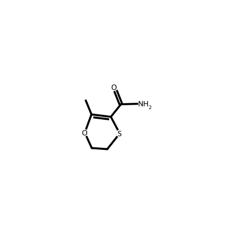 CC1=C(C(N)=O)SCCO1